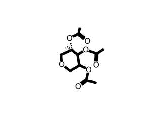 CC(=O)OC1COC[C@H](OC(C)=O)C1OC(C)=O